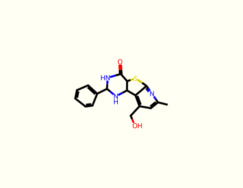 Cc1cc(CO)c2c(n1)SC1C(=O)NC(c3ccccc3)NC21